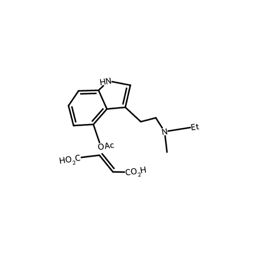 CCN(C)CCc1c[nH]c2cccc(OC(C)=O)c12.O=C(O)/C=C/C(=O)O